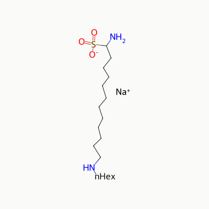 CCCCCCNCCCCCCCCCCCC(N)S(=O)(=O)[O-].[Na+]